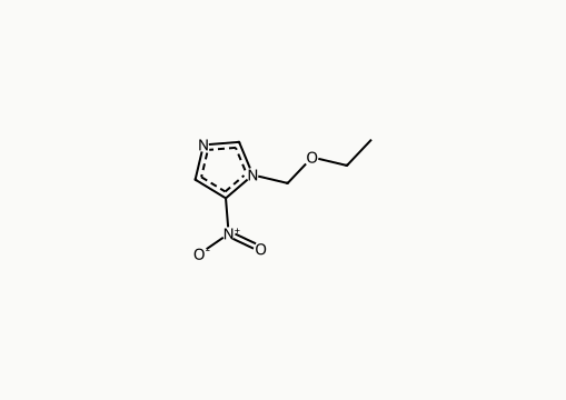 CCOCn1cncc1[N+](=O)[O-]